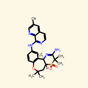 CC1(C)C[C@@H]2[C@](C)(N=C(N)C(C)(C)S2(=O)=O)c2cc(Nc3nccc4cc(C#N)cnc34)ccc2O1